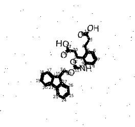 O=C(O)CCc1cccc(NC(=O)OCC2c3ccccc3-c3ccccc32)c1CCC(=O)O